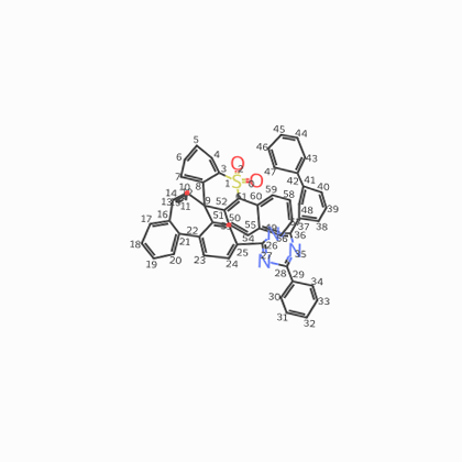 O=S1(=O)c2ccccc2C2(c3ccccc3-c3ccccc3-c3ccc(-c4nc(-c5ccccc5)nc(-c5cccc(-c6ccccc6)c5)n4)cc32)c2ccc3ccccc3c21